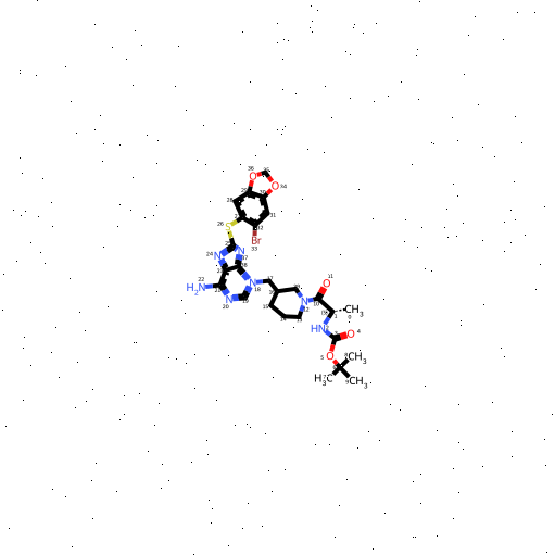 C[C@H](NC(=O)OC(C)(C)C)C(=O)N1CCCC(Cn2cnc(N)c3nc(Sc4cc5c(cc4Br)OCO5)nc2-3)C1